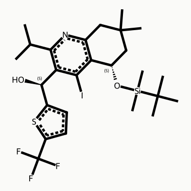 CC(C)c1nc2c(c(I)c1[C@H](O)c1ccc(C(F)(F)F)s1)[C@@H](O[Si](C)(C)C(C)(C)C)CC(C)(C)C2